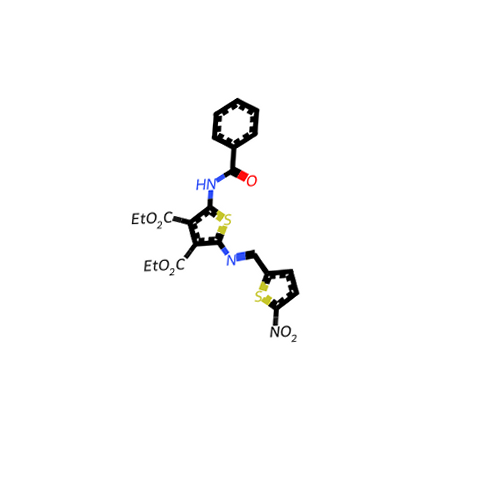 CCOC(=O)c1c(N=Cc2ccc([N+](=O)[O-])s2)sc(NC(=O)c2ccccc2)c1C(=O)OCC